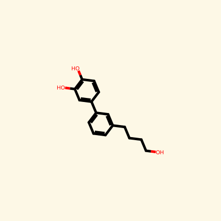 OCCCCc1cccc(-c2ccc(O)c(O)c2)c1